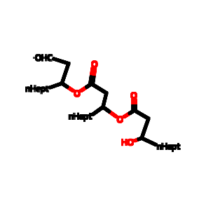 CCCCCCCC(O)CC(=O)OC(CCCCCCC)CC(=O)OC(C[C]=O)CCCCCCC